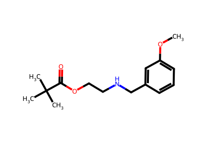 COc1cccc(CNCCOC(=O)C(C)(C)C)c1